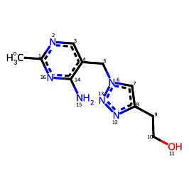 Cc1ncc(Cn2cc(CCO)nn2)c(N)n1